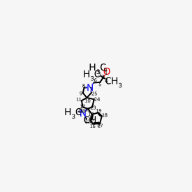 COC(C)(C)CCN1CCC2(CCC(c3ccccc3)(N(C)C)CC2)C1